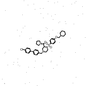 O=C(C1CN(Cc2ccc(-c3ccc(Cl)cc3)cc2)CCN1S(=O)(=O)c1ccc(OCC2CCCCC2)cc1)N1CCCC1